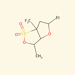 CCC1CC2(C(F)(F)F)C(O1)C(C)OS2(=O)=O